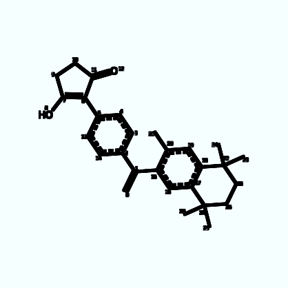 C=C(c1ccc(C2=C(O)CCC2=O)cc1)c1cc2c(cc1C)C(C)(C)CCC2(C)C